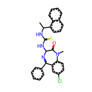 CC(NC(=S)NC1N=C(c2ccccc2)c2cc(Cl)ccc2N(C)C1=O)c1cccc2ccccc12